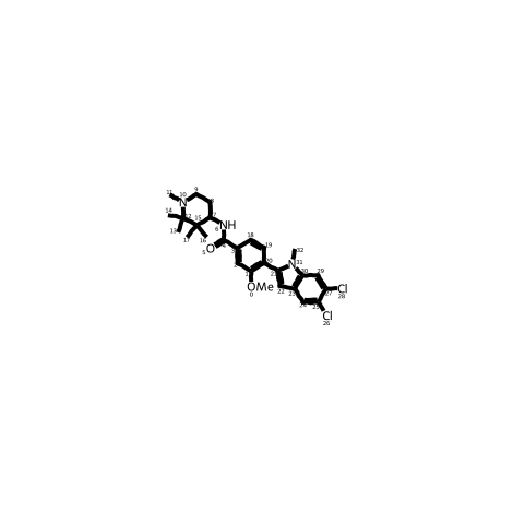 COc1cc(C(=O)NC2CCN(C)C(C)(C)C2(C)C)ccc1-c1cc2cc(Cl)c(Cl)cc2n1C